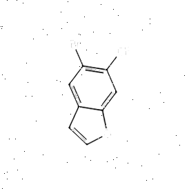 FC(F)(F)c1cc2occc2cc1Br